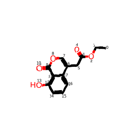 CCOC(=O)Cc1coc(=O)c2c(O)cccc12